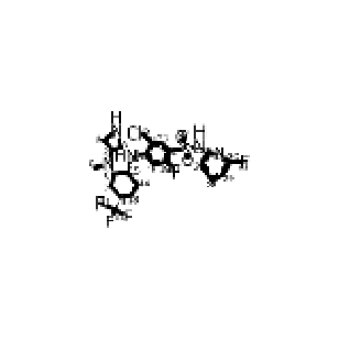 CN(C1CNC1)[C@H]1C[C@@H](C(F)(F)F)CC[C@@H]1Nc1cc(F)c(S(=O)(=O)Nc2cccc(F)n2)cc1Cl